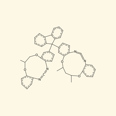 CC1COc2cc(C3(c4ccc5c(c4)OC(C)CC(C)Oc4ccccc4N=C=N5)c4ccccc4-c4ccccc43)ccc2N=C=Nc2ccccc2O1